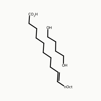 CCCCCCCCC=CCCCCCCCC(=O)O.OCCCCO